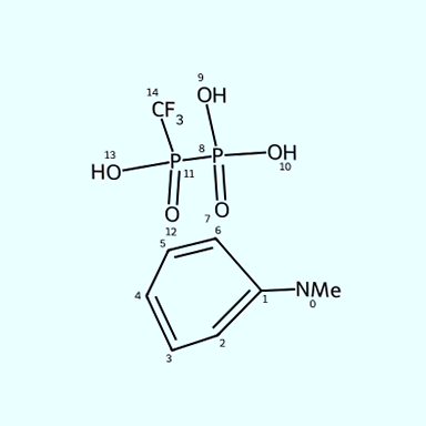 CNc1ccccc1.O=P(O)(O)P(=O)(O)C(F)(F)F